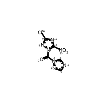 O=C(n1cncn1)n1nc(Cl)nc1[N+](=O)[O-]